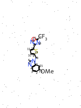 COc1ccc2ncn(Cc3ccc(-c4noc(C(F)(F)F)n4)s3)c2c1